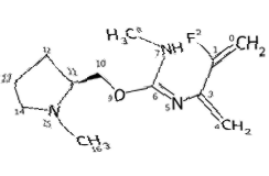 C=C(F)C(=C)/N=C(\NC)OC[C@@H]1CCCN1C